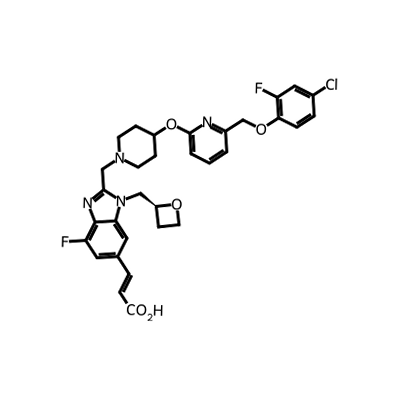 O=C(O)/C=C/c1cc(F)c2nc(CN3CCC(Oc4cccc(COc5ccc(Cl)cc5F)n4)CC3)n(C[C@@H]3CCO3)c2c1